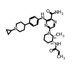 C=CC(=O)N[C@@H]1CCCN(c2cnc(C(N)=O)c(Nc3ccc(C4CCN(C5CC5)CC4)cc3)n2)[C@@H]1C